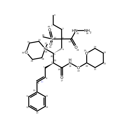 CCCC(C[C@H]([C@H](C/C=C/c1ccccc1)C(=O)NOC1CCCCO1)[N+]1(C)CCOCC1)(C(=O)NN)S(C)(=O)=O